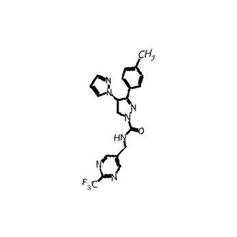 Cc1ccc(C2=NN(C(=O)NCc3cnc(C(F)(F)F)nc3)CC2n2cccn2)cc1